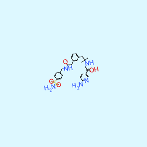 CC(C)(Cc1cccc(CC(=O)NCc2ccc(S(N)(=O)=O)cc2)c1)NC[C@H](O)c1ccc(N)nc1